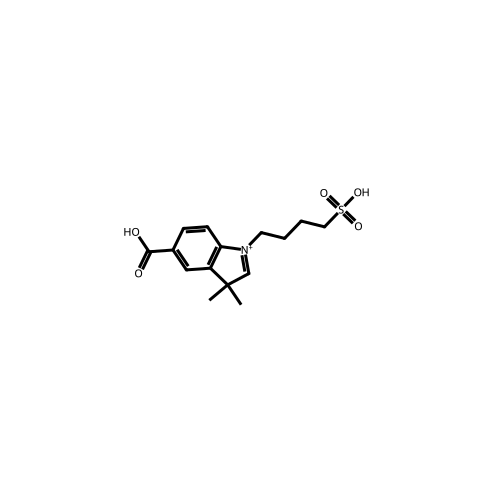 CC1(C)C=[N+](CCCCS(=O)(=O)O)c2ccc(C(=O)O)cc21